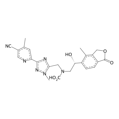 Cc1cc(-c2nc(CN(C[C@H](O)c3ccc4c(c3C)COC4=O)C(=O)O)n(C)n2)ncc1C#N